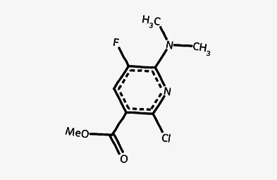 COC(=O)c1cc(F)c(N(C)C)nc1Cl